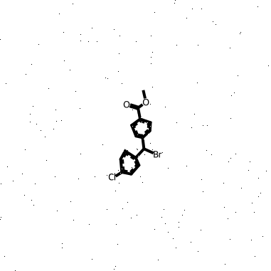 COC(=O)c1ccc(C(Br)c2ccc(Cl)cc2)cc1